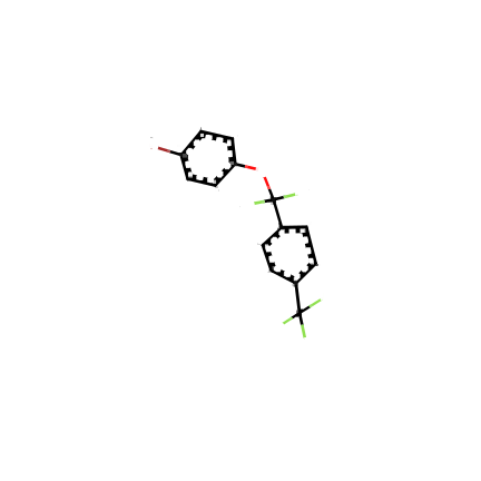 FC(F)(F)c1ccc(C(F)(F)Oc2ccc(Br)cc2)cc1